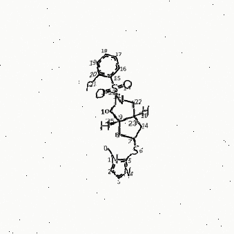 Cn1ccnc1SC1C[C@@H]2CN(S(=O)(=O)c3ccccc3F)C[C@@H]2C1